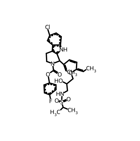 C\C=C(/C=C\C(=C/C)C1c2[nH]c3ccc(Cl)cc3c2CCN1C(=O)Oc1ccc(F)cc1)OCC(O)CNS(=O)(=O)C(C)C